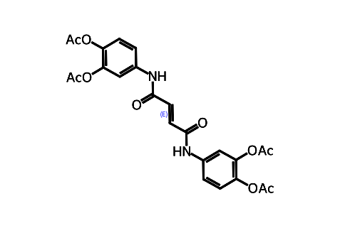 CC(=O)Oc1ccc(NC(=O)/C=C/C(=O)Nc2ccc(OC(C)=O)c(OC(C)=O)c2)cc1OC(C)=O